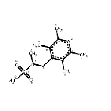 Cc1nc(C)c(C)c(CN(C)S(C)(=O)=O)c1C